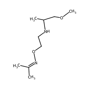 COCC(C)NCCON=C(C)C